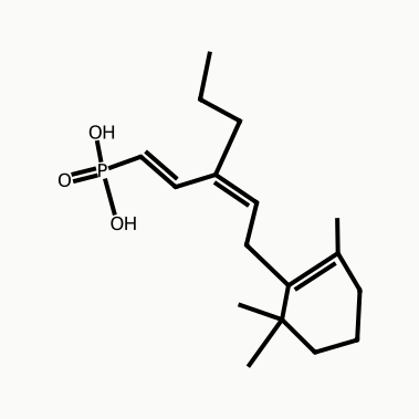 CCCC(C=CP(=O)(O)O)=CCC1=C(C)CCCC1(C)C